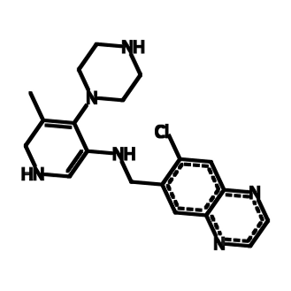 CC1=C(N2CCNCC2)C(NCc2cc3nccnc3cc2Cl)=CNC1